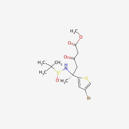 COC(=O)CC(=O)C[C@](C)(N[S+]([O-])C(C)(C)C)c1cc(Br)cs1